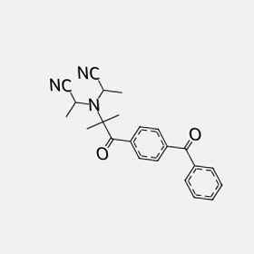 CC(C#N)N(C(C)C#N)C(C)(C)C(=O)c1ccc(C(=O)c2ccccc2)cc1